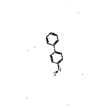 S=Nc1ccc(-c2ccccc2)cc1